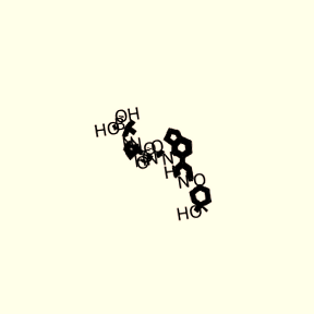 CC(C)(Cn1ccc(S(=O)(=O)NC(=O)Nc2c(-c3ccnc(O[C@H]4CC[C@@](C)(O)CC4)c3)ccc3c2CCC3)n1)B(O)O